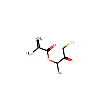 C=C(C)C(=O)OC(C(C)=O)C(=O)CS